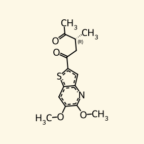 COc1cc2sc(C(=O)C[C@@H](C)C(C)=O)cc2nc1OC